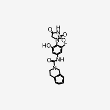 O=C1CN(c2c(O)cc(NC(=O)N3CCc4ccccc4C3)cc2F)S(=O)(=O)N1